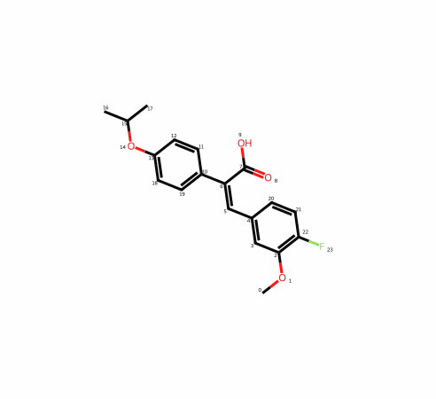 COc1cc(C=C(C(=O)O)c2ccc(OC(C)C)cc2)ccc1F